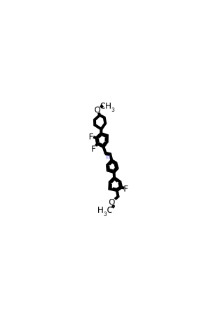 CCOCc1ccc(-c2ccc(/C=C/c3ccc(C4CCC(OC)CC4)c(F)c3F)cc2)cc1F